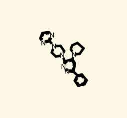 c1ccc(-c2cc(N3CCCCC3)c(N3CCN(c4ncccn4)CC3)nn2)cc1